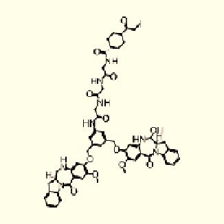 COc1cc2c(cc1OCc1cc(COc3cc4c(cc3OC)C(=O)N3c5ccccc5C[C@H]3C(O)N4)cc(NC(=O)CNC(=O)CNC(=O)CNC(=O)[C@H]3CC[C@H](C(=O)CI)CC3)c1)NC[C@@H]1Cc3ccccc3N1C2=O